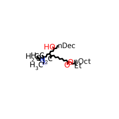 C=C=CN(/C=C\C)C(C)CCC(CCC(O)CCCCCCCCCCCC)C(=C)CCCCCCCC(=O)OCC(CC)CCCCCCCC